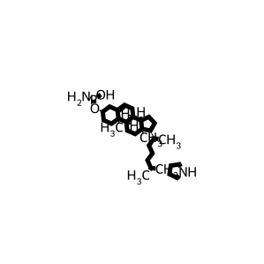 C1CCNC1.CC(C)CCCC(C)[C@H]1CC[C@H]2[C@@H]3CC=C4C[C@@H](OP(N)O)CC[C@]4(C)[C@H]3CC[C@]12C